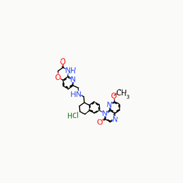 COc1ccc2ncc(=O)n(-c3ccc4c(c3)CCCC4CNCc3ccc4c(n3)NC(=O)CO4)c2n1.Cl